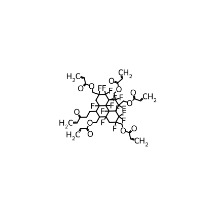 C=CC(=O)CCC1C(COC(=O)C=C)C2(F)CC(F)(COC(=O)C=C)C(F)(F)C3(F)C(F)(COC(=O)C=C)C(F)(COC(=O)C=C)C4(F)C(F)(F)C(F)(COC(=O)C=C)CC1(F)C4(F)C23F